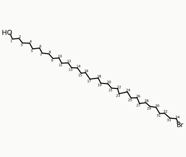 OCCCCCCCCCCCCCCCCCCCCCCCCCCCCCCCCCCBr